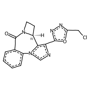 O=C1c2ccccc2-n2cnc(-c3nnc(CCl)o3)c2[C@@H]2CCN12